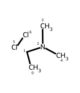 CCN(C)C.ClCl